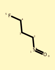 O=[S+]CCCF